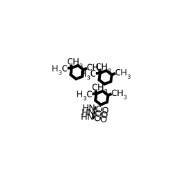 CC1CCCC(C)(C)C1.CC1CCCC(C)(C)C1.CC1CCCC(C)(C)C1.N=C=O.N=C=O.N=C=O